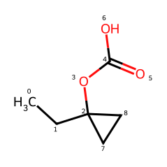 CCC1(OC(=O)O)CC1